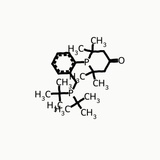 CC(C)(C)P(Cc1ccccc1P1C(C)(C)CC(=O)CC1(C)C)C(C)(C)C